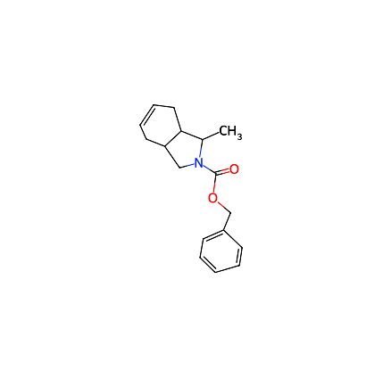 CC1C2CC=CCC2CN1C(=O)OCc1ccccc1